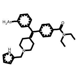 CCN(CC)C(=O)c1ccc(C(=C2CCN(Cc3ccc[nH]3)CC2)c2cccc([AsH2])c2)cc1